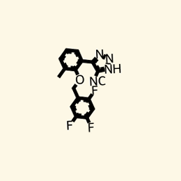 Cc1cccc(-c2nn[nH]c2C#N)c1OCc1cc(F)c(F)cc1F